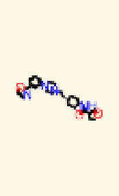 O=C(N[C@H]1CC[C@H](CCN2CCN(c3cccc(-c4ncco4)c3)CC2)CC1)C1=COCC1